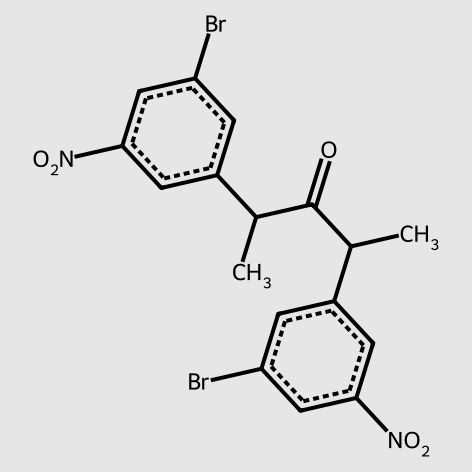 CC(C(=O)C(C)c1cc(Br)cc([N+](=O)[O-])c1)c1cc(Br)cc([N+](=O)[O-])c1